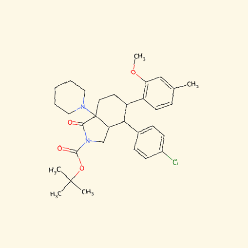 COc1cc(C)ccc1C1CCC2(N3CCCCC3)C(=O)N(C(=O)OC(C)(C)C)CC2C1c1ccc(Cl)cc1